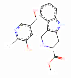 COC(=O)[C@@H]1Cc2[nH]c3ccccc3c2[C@@H](c2c(CO)cnc(C)c2O)N1